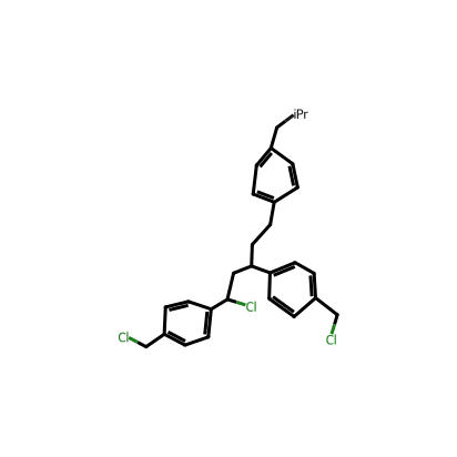 CC(C)Cc1ccc(CCC(CC(Cl)c2ccc(CCl)cc2)c2ccc(CCl)cc2)cc1